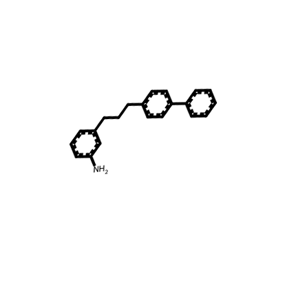 Nc1cccc(CCCc2ccc(-c3ccccc3)cc2)c1